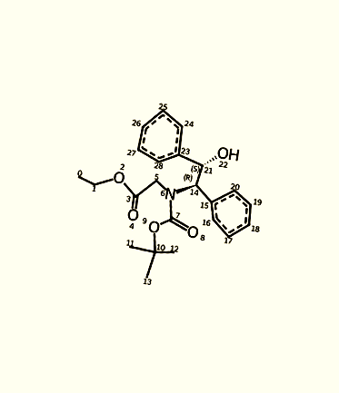 CCOC(=O)CN(C(=O)OC(C)(C)C)[C@H](c1ccccc1)[C@@H](O)c1ccccc1